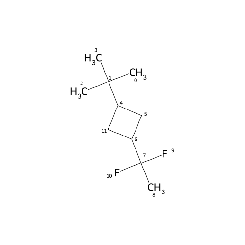 CC(C)(C)C1CC(C(C)(F)F)C1